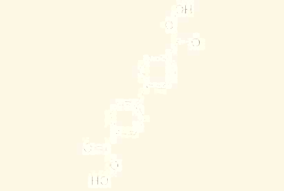 O=C(OO)c1ccc(-c2ccc(C(=O)OO)cc2)cc1